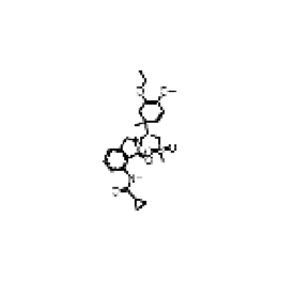 CCOC1=C(OC)C=CC(C)([C@@H](CS(C)(=O)=O)N2Cc3cccc(NC(=O)C4CC4)c3C2=O)C1